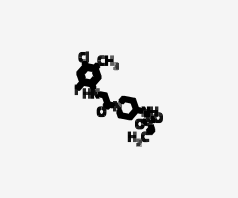 C=CS(=O)(=O)NC1CCN(C(=O)CNc2cc(C)c(Cl)cc2I)CC1